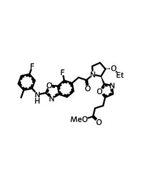 CCO[C@H]1CCN(C(=O)Cc2ccc3nc(Nc4cc(F)ccc4C)oc3c2F)[C@@H]1c1ncc(CCC(=O)OC)o1